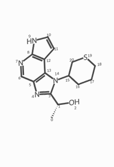 C[C@@H](O)c1nc2cnc3[nH]ccc3c2n1C1CCCSC1